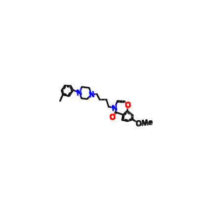 COc1ccc2c(c1)OC=CN(CCCCN1CCN(c3cccc(C)c3)CC1)C2=O